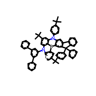 CC(C)(C)c1ccc(N2c3cc4c(cc3B3c5cc(C(C)(C)C)ccc5N(c5cc(-c6ccccc6)cc(-c6ccccc6)c5)c5cc(C(C)(C)C)cc2c53)C(c2ccccc2)(c2ccccc2)c2ccccc2-4)cc1